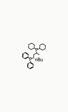 CCCC[C@@H](CC(C)P(C1CCCCC1)C1CCCCC1)P(c1ccccc1)c1ccccc1